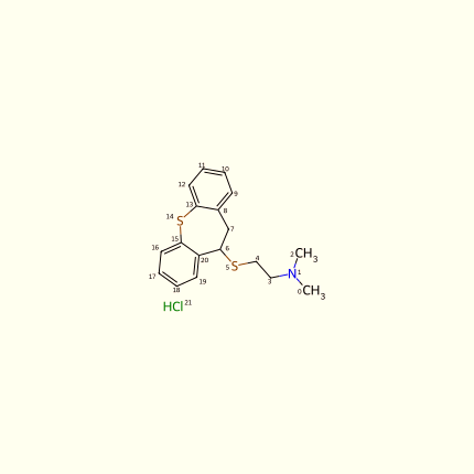 CN(C)CCSC1Cc2ccccc2Sc2ccccc21.Cl